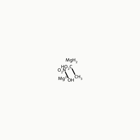 CC(=O)O.O=[N+]([O-])O.[Mg+2].[MgH2]